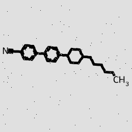 CCCCCCC1CCC(c2ccc(-c3ccc(C#N)cc3)cc2)CC1